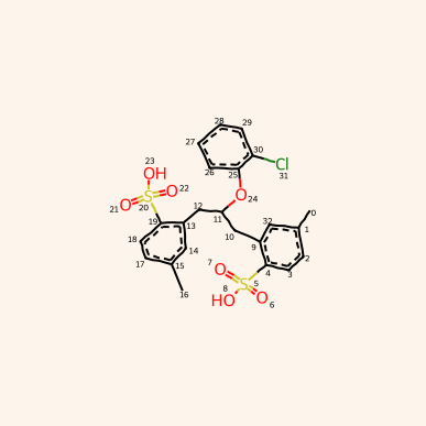 Cc1ccc(S(=O)(=O)O)c(CC(Cc2cc(C)ccc2S(=O)(=O)O)Oc2ccccc2Cl)c1